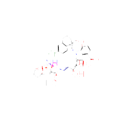 CO[C@@H](C/C=C/[C@H](O)[C@@H]1CC[C@H]1CN1C[C@@]2(CCCc3cc(Cl)ccc32)COc2ccc(C(=O)O)cc21)[C@@H](C[C@@H]1CCCO1)S(N)(=O)=O